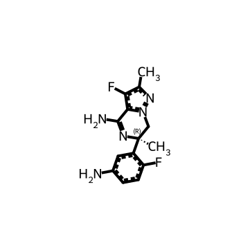 Cc1nn2c(c1F)C(N)=N[C@](C)(c1cc(N)ccc1F)C2